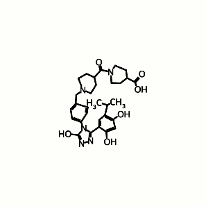 CC(C)c1cc(-c2nnc(O)n2-c2ccc(CN3CCC(C(=O)N4CCC(C(=O)O)CC4)CC3)cc2)c(O)cc1O